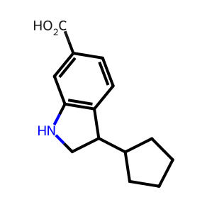 O=C(O)c1ccc2c(c1)NCC2C1CCCC1